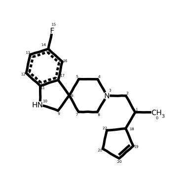 CC(CN1CCC2(CC1)CNc1ccc(F)cc12)C1C=CCC1